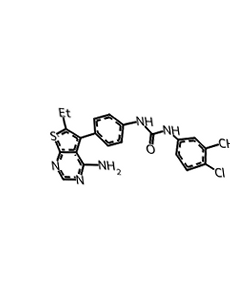 CCc1sc2ncnc(N)c2c1-c1ccc(NC(=O)Nc2ccc(Cl)c(C)c2)cc1